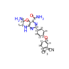 CC(Nc1cc(C(N)=O)nc(-c2ccc(Oc3ccc(C(F)(F)F)c(C#N)c3)cc2)n1)C(N)=O